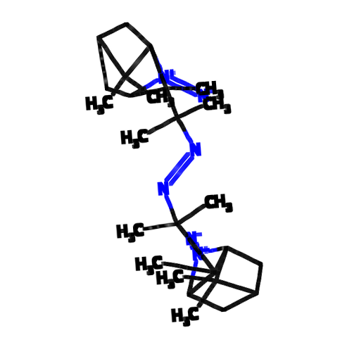 CC(C)(N=NC(C)(C)C1(C)C2CC3CC1([N+]2=[N-])C3(C)C)C1(C)C2CC3CC1([N+]2=[N-])C3(C)C